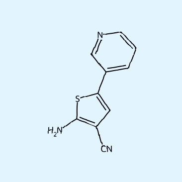 N#Cc1cc(-c2cccnc2)sc1N